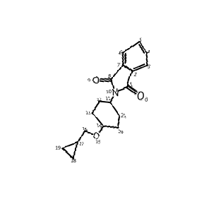 O=C1c2ccccc2C(=O)N1C1CCC(OCC2CC2)CC1